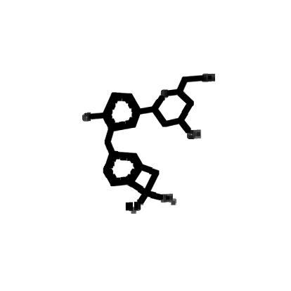 BC1(B)Cc2cc(Cc3cc(C4CC(O)CC(CO)O4)ccc3Cl)ccc21